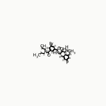 CCCN(CCC)C(=O)c1cc(Br)cc(C(=O)N[C@@H](Cc2cc(F)cc(F)c2)[C@H](O)CNC)c1